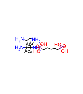 CC(=O)C(N)(C(C)=O)C(N)(C(C)=O)C(C)=O.NCCN.O=P(O)(O)CCCCCP(=O)(O)O